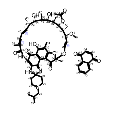 CO[C@H]1/C=C/O[C@@]2(C)Oc3c(C)c(O)c4c(c3C2=O)C2=NC3(CCN(CC(C)C)CC3)NC2=C(NC(=O)/C(C)=C\C=C\[C@H](C)[C@H](O)[C@@H](C)[C@@H](O)[C@@H](C)[C@H](OC(C)=O)[C@@H]1C)C4=O.O=C1C=CC(=O)c2ccccc21